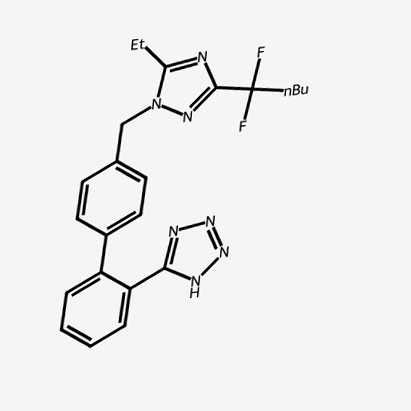 CCCCC(F)(F)c1nc(CC)n(Cc2ccc(-c3ccccc3-c3nnn[nH]3)cc2)n1